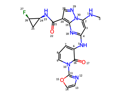 CNc1cc(Nc2cccn(-c3ncco3)c2=O)nc2c(C(=O)N[C@H]3C[C@H]3F)cnn12